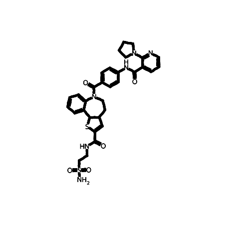 NS(=O)(=O)CCNC(=O)C1=CC2CCN(C(=O)c3ccc(NC(=O)c4cccnc4N4CCCC4)cc3)c3ccccc3C2S1